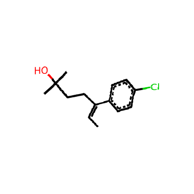 C/C=C(/CCC(C)(C)O)c1ccc(Cl)cc1